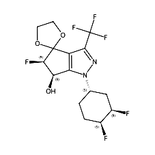 O[C@@H]1c2c(c(C(F)(F)F)nn2[C@H]2CC[C@H](F)[C@H](F)C2)C2(OCCO2)[C@@H]1F